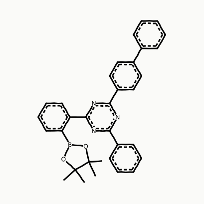 CC1(C)OB(c2ccccc2-c2nc(-c3ccccc3)nc(-c3ccc(-c4ccccc4)cc3)n2)OC1(C)C